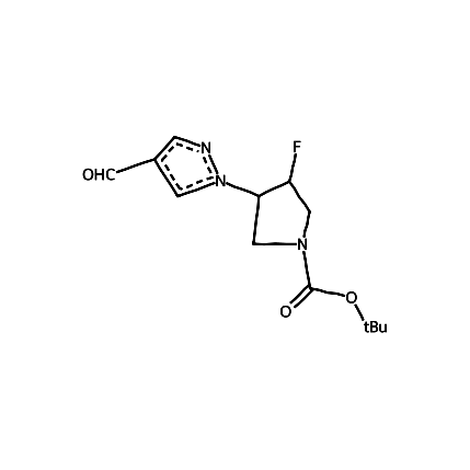 CC(C)(C)OC(=O)N1CC(F)C(n2cc(C=O)cn2)C1